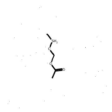 C[SiH2]OCOC(C)=O